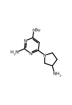 CCCCc1cc(N2CCC(N)C2)nc(N)n1